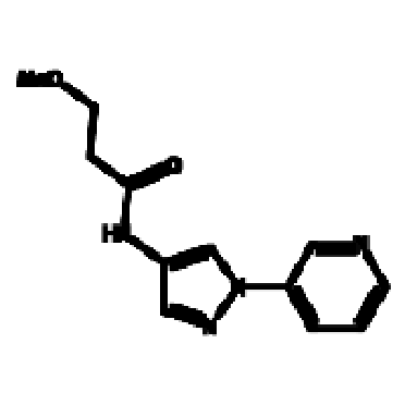 COCCC(=O)Nc1cnn(-c2cccnc2)c1